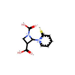 O=C(O)C1CN(C(=O)O)C1n1ccccc1=S